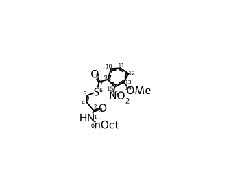 CCCCCCCCNC(=O)/C=C\SC(=O)c1cccc(OC)c1[N+](=O)[O-]